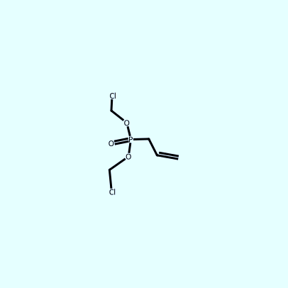 C=CCP(=O)(OCCl)OCCl